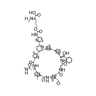 CNC(=O)C[C@@H]1NC(=O)c2csc(n2)-c2ccc(-c3nc(NC(=O)OCCC[C@H](N)C(=O)O)cs3)nc2-c2csc(n2)-c2csc(n2)[C@H]([C@@H](O)c2ccccc2)NC(=O)CNC(=O)c2nc(sc2COC)NC(=O)c2nc1sc2C